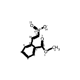 COC(=O)c1ccccc1C=C[N+](=O)[O-]